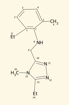 CCc1cccc(C)c1NCc1nnc(CC)n1C